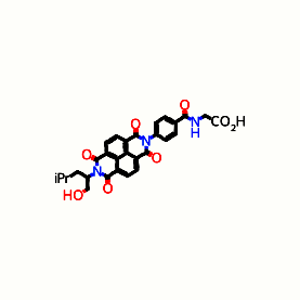 CC(C)CC(CO)N1C(=O)c2ccc3c4c(ccc(c24)C1=O)C(=O)N(c1ccc(C(=O)NCC(=O)O)cc1)C3=O